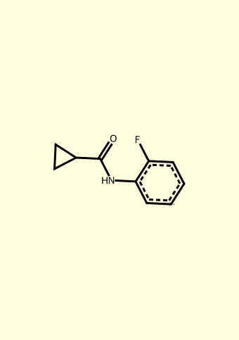 O=C(Nc1c[c]ccc1F)C1CC1